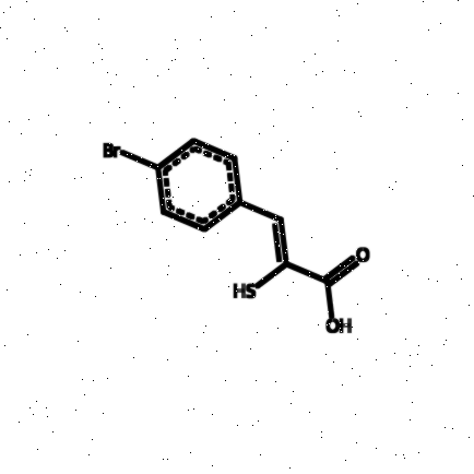 O=C(O)C(S)=Cc1ccc(Br)cc1